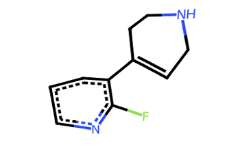 Fc1ncccc1C1=CCNCC1